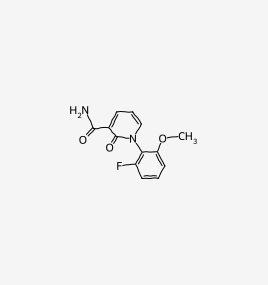 COc1cccc(F)c1-n1cccc(C(N)=O)c1=O